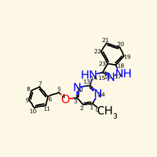 Cc1cc(OCc2ccccc2)nc(Nc2n[nH]c3ccccc23)n1